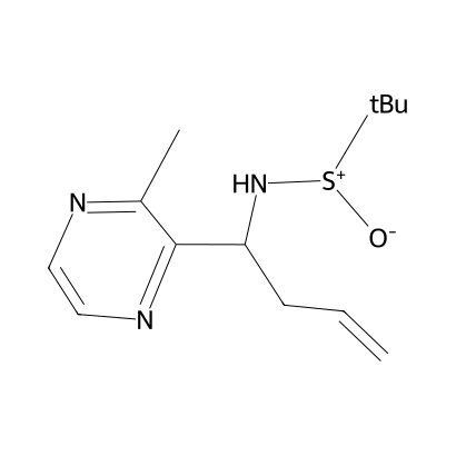 C=CCC(N[S+]([O-])C(C)(C)C)c1nccnc1C